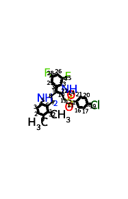 Cc1ccc(N)c(CCc2c(CS(=O)(=O)c3ccc(Cl)cc3)[nH]c3c(F)cc(F)cc23)c1C